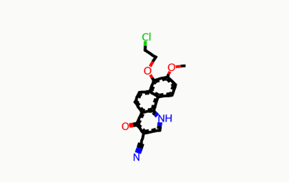 COc1ccc2c(ccc3c(=O)c(C#N)c[nH]c32)c1OCCCl